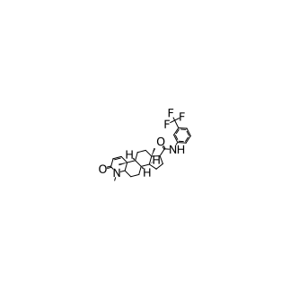 CN1C(=O)C=C[C@@]2(C)C1CC[C@@H]1[C@H]2CC[C@]2(C)C(C(=O)Nc3cccc(C(F)(F)F)c3)CC[C@@H]12